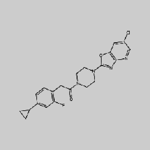 O=C(Cc1ccc(C2CC2)cc1F)N1CCN(c2nc3ncc(Cl)cc3o2)CC1